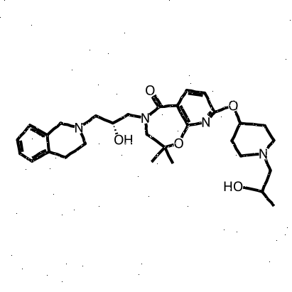 CC(O)CN1CCC(Oc2ccc3c(n2)OC(C)(C)CN(C[C@H](O)CN2CCc4ccccc4C2)C3=O)CC1